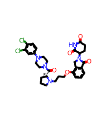 O=C1CCC(N2Cc3c(OCCCN4CCC[C@@H]4C(=O)N4CCN(c5ccc(Cl)c(Cl)c5)CC4)cccc3C2=O)C(=O)N1